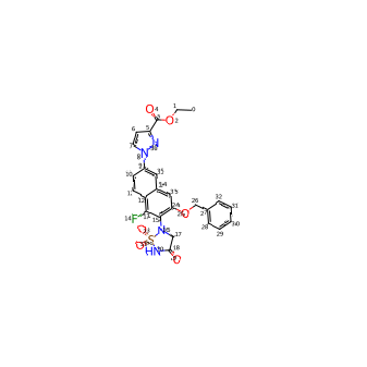 CCOC(=O)c1ccn(-c2ccc3c(F)c(N4CC(=O)NS4(=O)=O)c(OCc4ccccc4)cc3c2)n1